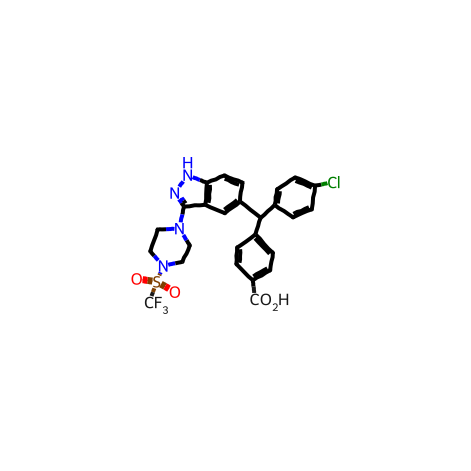 O=C(O)c1ccc(C(c2ccc(Cl)cc2)c2ccc3[nH]nc(N4CCN(S(=O)(=O)C(F)(F)F)CC4)c3c2)cc1